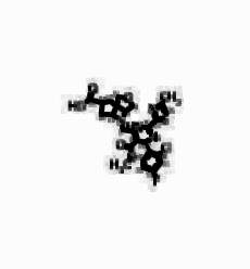 COC(=O)C1=C(CN2C3COCC34CC(C(=O)O)CC24)NC(c2nc(C)cs2)=N[C@H]1c1ccc(F)cc1Cl